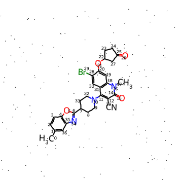 Cc1ccc2oc(C3CCN(c4c(C#N)c(=O)n(C)c5cc(OC6CCC(=O)C6)c(Br)cc45)CC3)nc2c1